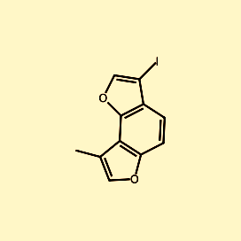 Cc1coc2ccc3c(I)coc3c12